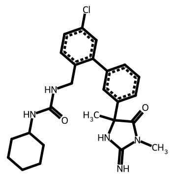 CN1C(=N)NC(C)(c2cccc(-c3cc(Cl)ccc3CNC(=O)NC3CCCCC3)c2)C1=O